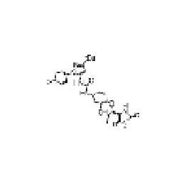 Cc1cc(NC(=O)Nc2cc(C(C)(C)C)nn2-c2ccc(F)cc2)ccc1Oc1ccnc2[nH]c(=O)[nH]c12